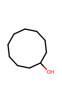 OC1CCCCCCCCC1